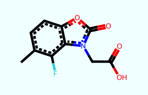 Cc1ccc2oc(=O)n(CC(=O)O)c2c1F